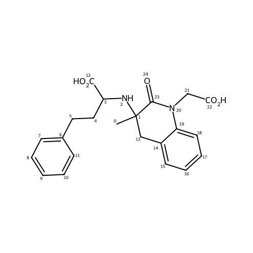 CC1(NC(CCc2ccccc2)C(=O)O)Cc2ccccc2N(CC(=O)O)C1=O